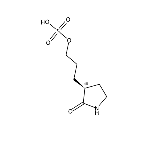 O=C1NCC[C@@H]1CCCOS(=O)(=O)O